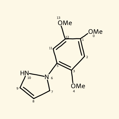 COc1cc(OC)c(N2CC=CN2)cc1OC